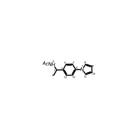 CC(=O)NC(C)c1ccc(-n2cccc2)cc1